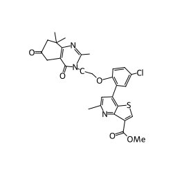 COC(=O)c1csc2c(-c3cc(Cl)ccc3OCCn3c(C)nc4c(c3=O)CC(=O)CC4(C)C)cc(C)nc12